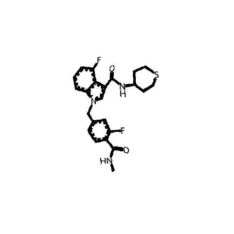 CNC(=O)c1ccc(Cn2cc(C(=O)NC3CCSCC3)c3c(F)cccc32)cc1F